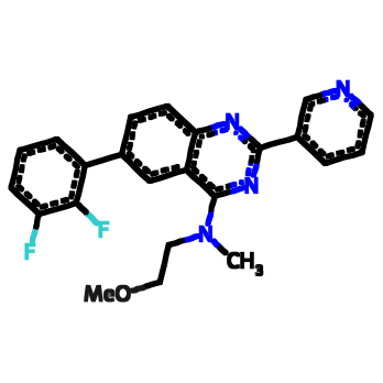 COCCN(C)c1nc(-c2cccnc2)nc2ccc(-c3cccc(F)c3F)cc12